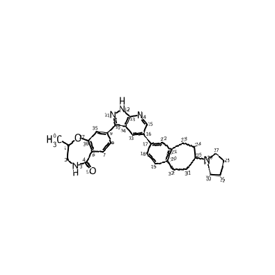 CC1CNC(=O)c2ccc(-c3n[nH]c4ncc(-c5ccc6c(c5)CCC(N5CCCC5)CC6)cc34)cc2O1